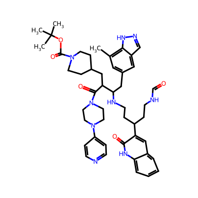 Cc1cc(CC(NCCC(CCNC=O)c2cc3ccccc3[nH]c2=O)C(CC2CCN(C(=O)OC(C)(C)C)CC2)C(=O)N2CCN(c3ccncc3)CC2)cc2cn[nH]c12